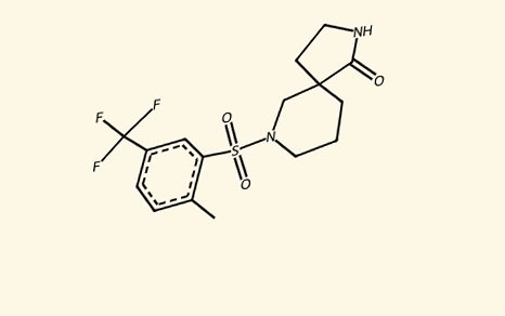 Cc1ccc(C(F)(F)F)cc1S(=O)(=O)N1CCCC2(CCNC2=O)C1